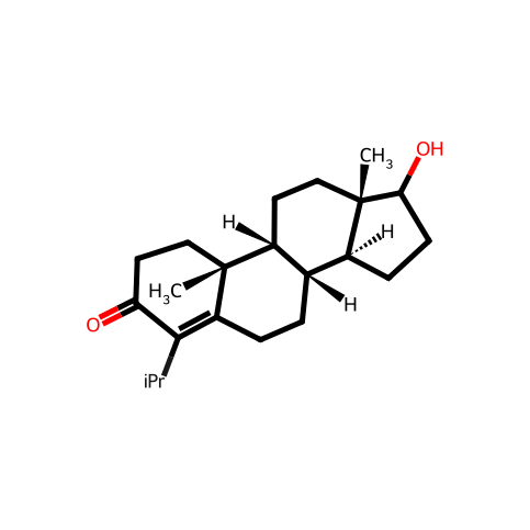 CC(C)C1=C2CC[C@@H]3[C@@H](CC[C@]4(C)C(O)CC[C@@H]34)[C@@]2(C)CCC1=O